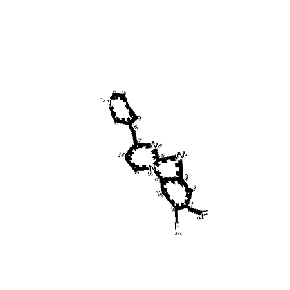 Fc1cc2nc3nc(-c4cccnc4)ccn3c2cc1F